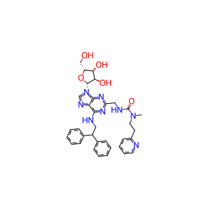 CN(CCc1ccccn1)C(=O)NCc1nc(NCC(c2ccccc2)c2ccccc2)c2ncn([C@@H]3O[C@H](CO)[C@@H](O)[C@H]3O)c2n1